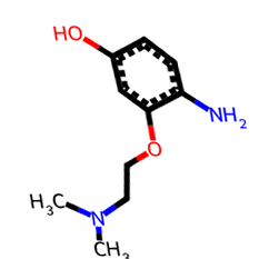 CN(C)CCOc1cc(O)ccc1N